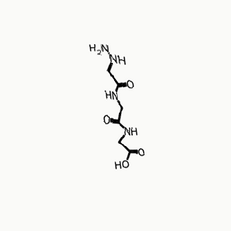 NNCC(=O)NCC(=O)NCC(=O)O